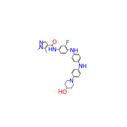 Cc1c(C(=O)Nc2ccc(Nc3ccc(Nc4ccc(N5CCC(O)CC5)cc4)cc3)c(F)c2)cnn1C